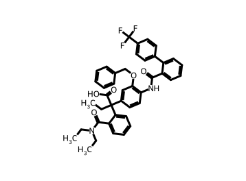 CCN(CC)C(=O)c1ccccc1C(CC)(C(=O)O)c1ccc(NC(=O)c2ccccc2-c2ccc(C(F)(F)F)cc2)c(OCc2ccccc2)c1